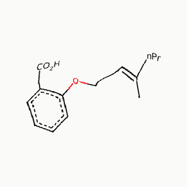 CCCC(C)=CCOc1ccccc1C(=O)O